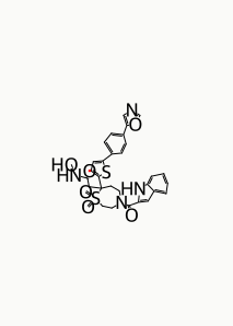 O=C(CC1(c2ccc(-c3ccc(-c4cnco4)cc3)s2)CCN(C(=O)c2cc3ccccc3[nH]2)CCS1(=O)=O)NO